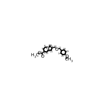 COC(=O)c1ccn2nc(COCc3ccc(OC)cc3)cc2c1